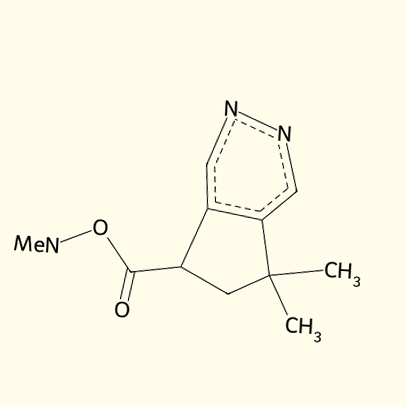 CNOC(=O)C1CC(C)(C)c2cnncc21